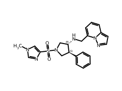 Cn1cnc(S(=O)(=O)N2C[C@H](NCc3cccc4ccnn34)[C@@H](c3ccccc3)C2)c1